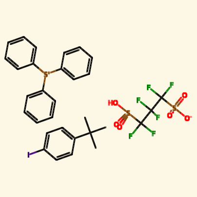 CC(C)(C)c1ccc(I)cc1.O=S(=O)([O-])C(F)(F)C(F)(F)C(F)(F)S(=O)(=O)O.c1ccc([S+](c2ccccc2)c2ccccc2)cc1